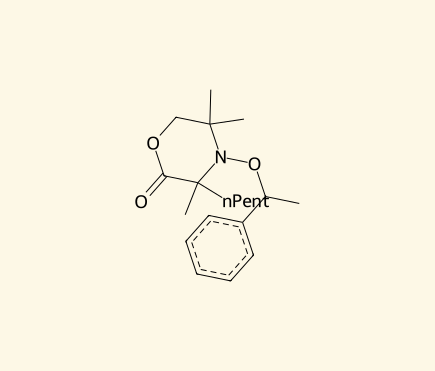 CCCCCC1(C)C(=O)OCC(C)(C)N1OC(C)c1ccccc1